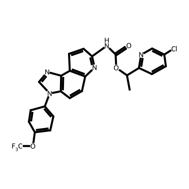 CC(OC(=O)Nc1ccc2c(ccc3c2ncn3-c2ccc(OC(F)(F)F)cc2)n1)c1ccc(Cl)cn1